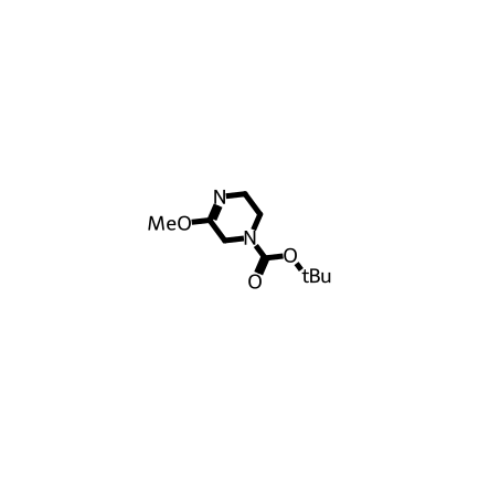 COC1=NCCN(C(=O)OC(C)(C)C)C1